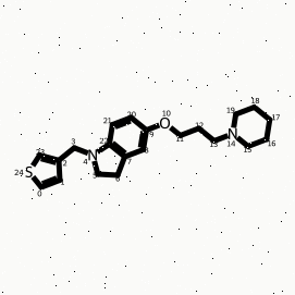 c1cc(CN2CCc3cc(OCCCN4CCCCC4)ccc32)cs1